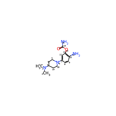 CN(C)C1CCN(c2ccc(N)c(OC(N)=O)c2)CC1